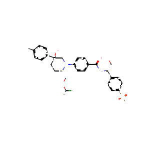 CCS(=O)(=O)c1ccc([C@H](CO)NC(=O)c2ccc(N3CC(O)(c4ccc(C(F)(F)F)cc4)CC[C@H]3COC(F)F)cc2)cc1